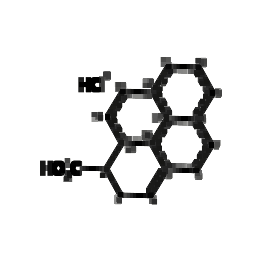 Cl.O=C(O)C1CC=c2ccc3cccc4ccc1c2c43